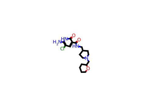 Nc1[nH]c(=O)c(C(=O)NCC2CCN(CC3CCCCO3)CC2)cc1Cl